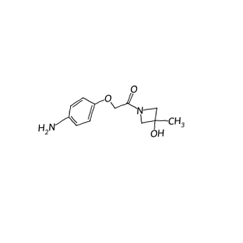 CC1(O)CN(C(=O)COc2ccc(N)cc2)C1